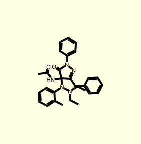 CCN(CC)N(c1ccccc1C)C1(NC(C)=O)C(=O)N(c2ccccc2)N=C1Cc1ccccc1